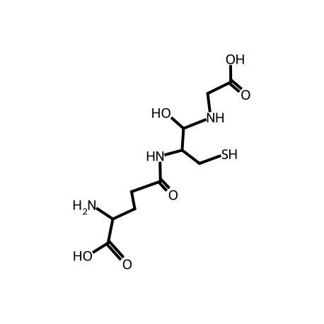 NC(CCC(=O)NC(CS)C(O)NCC(=O)O)C(=O)O